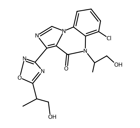 CC(CO)c1nc(-c2ncn3c2c(=O)n(C(C)CO)c2c(Cl)cccc23)no1